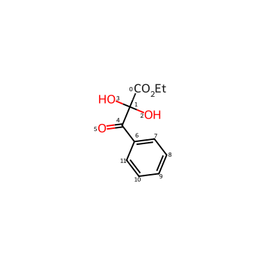 CCOC(=O)C(O)(O)C(=O)c1ccccc1